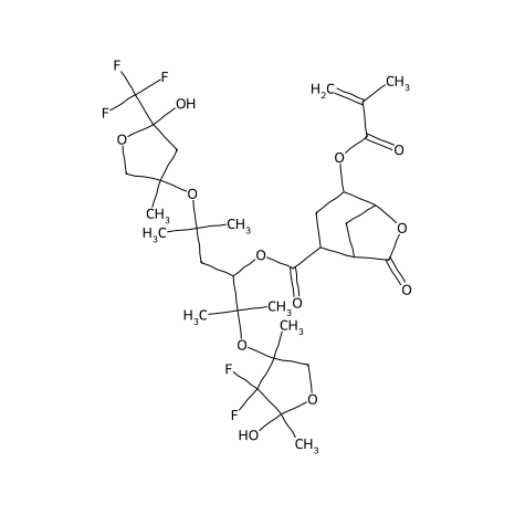 C=C(C)C(=O)OC1CC(C(=O)OC(CC(C)(C)OC2(C)COC(O)(C(F)(F)F)C2)C(C)(C)OC2(C)COC(C)(O)C2(F)F)C2CC1OC2=O